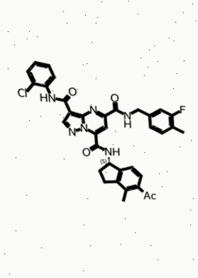 CC(=O)c1ccc2c(c1C)CC[C@@H]2NC(=O)c1cc(C(=O)NCc2ccc(C)c(F)c2)nc2c(C(=O)Nc3ccccc3Cl)cnn12